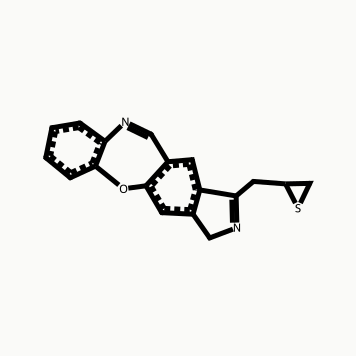 C1=Nc2ccccc2Oc2cc3c(cc21)C(CC1CS1)=NC3